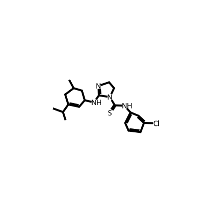 CC1CC(C(C)C)=CC(NC2=NCCN2C(=S)Nc2cccc(Cl)c2)C1